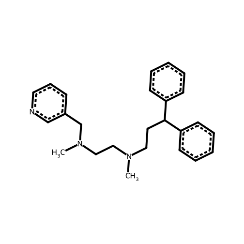 CN(CCC(c1ccccc1)c1ccccc1)CCN(C)Cc1cccnc1